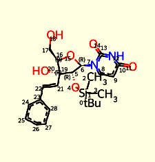 CC(C)(C)[Si](C)(C)O[C@H]1[C@H](n2ccc(=O)[nH]c2=O)O[C@H](CO)[C@]1(O)C=Cc1ccccc1